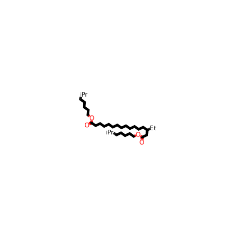 CCC(CCCCCCCCCCCCC(=O)OCCCCCC(C)C)CC(=O)OCCCCCC(C)C